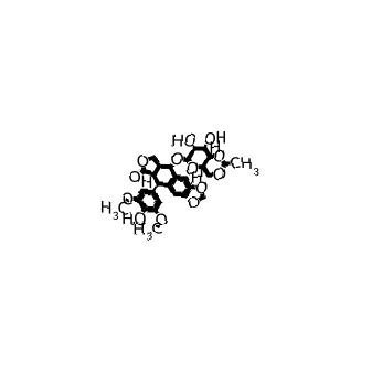 COc1cc([C@@H]2c3cc4c(cc3C(OC3O[C@@H]5COC(C)O[C@H]5[C@H](O)[C@H]3O)C3COC(=O)[C@@H]32)OCO4)cc(OC)c1O